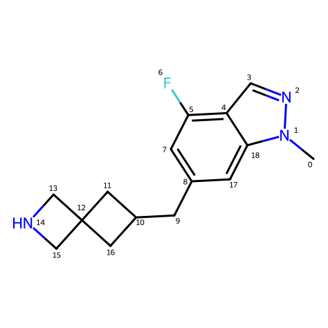 Cn1ncc2c(F)cc(CC3CC4(CNC4)C3)cc21